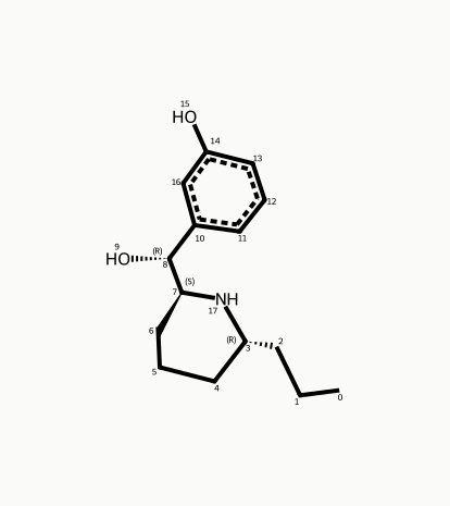 CCC[C@@H]1CCC[C@@H]([C@H](O)c2cccc(O)c2)N1